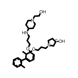 Cc1ccccc1C1=CC=CC(OCCCNC2CCN(CCO)CC2)(OCCCN2CC[C@@H](O)C2)C1C